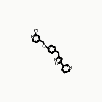 Clc1cc(COc2ccc(Cc3cc(-c4cccnc4)on3)cc2)ccn1